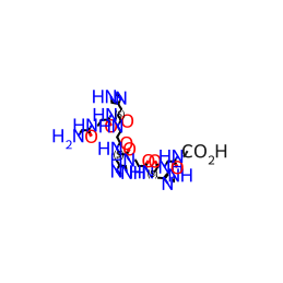 NCC(=O)NCCC(=O)N[C@@H](Cc1c[nH]cn1)C(=O)NCCC(=O)N[C@@H](Cc1c[nH]cn1)C(=O)NCCC(=O)N[C@@H](Cc1c[nH]cn1)C(=O)NCC(=O)NCC(=O)O